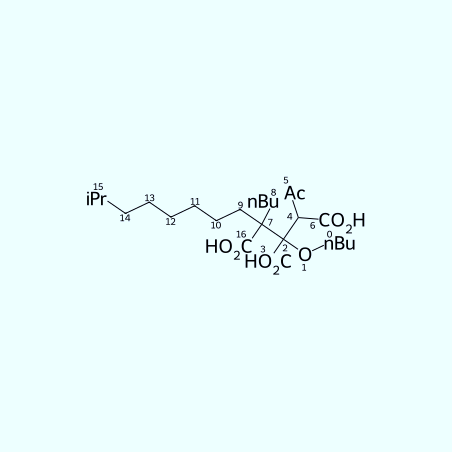 CCCCOC(C(=O)O)(C(C(C)=O)C(=O)O)C(CCCC)(CCCCCCC(C)C)C(=O)O